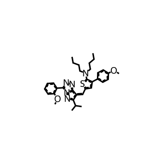 CCCCN(CCCC)c1sc(/C=c2/c(C(C)C)nn3c(-c4ccccc4OC)nnc23)cc1-c1ccc(OC)cc1